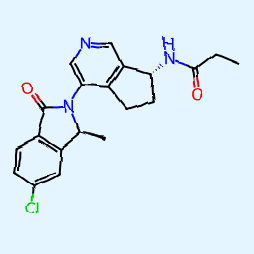 CCC(=O)N[C@@H]1CCc2c1cncc2N1C(=O)c2ccc(Cl)cc2[C@@H]1C